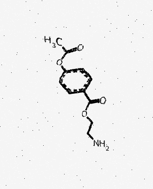 CC(=O)Oc1ccc(C(=O)OCCN)cc1